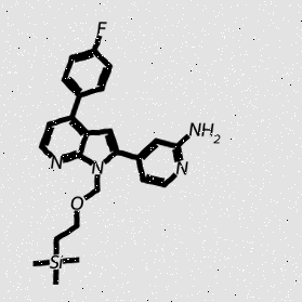 C[Si](C)(C)CCOCn1c(-c2ccnc(N)c2)cc2c(-c3ccc(F)cc3)ccnc21